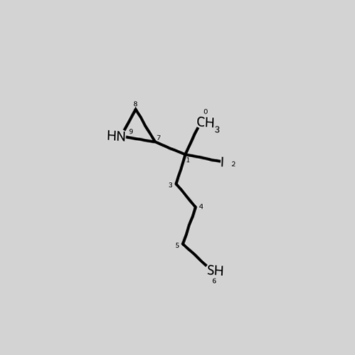 CC(I)(CCCS)C1CN1